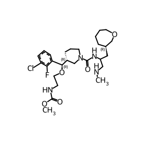 CNCC(C[C@H]1CCCCOC1)NC(=O)N1CCC[C@@H]([C@@H](OCCNC(=O)OC)c2cccc(Cl)c2F)C1